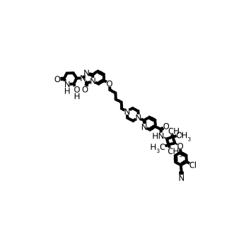 CC1(C)[C@H](NC(=O)c2ccc(N3CCN(CCCCCOc4ccc5nn(C6CCC(=O)NC6O)c(=O)n5c4)CC3)nc2)C(C)(C)[C@H]1Oc1ccc(C#N)c(Cl)c1